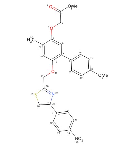 COC(=O)COc1cc(-c2ccc(OC)cc2)c(OCc2nc(-c3ccc([N+](=O)[O-])cc3)cs2)cc1C